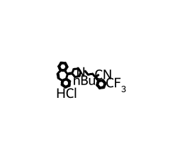 CCCCC(C#N)(CCCN1CCC(=C2c3ccccc3C=Cc3ccccc32)CC1)c1cccc(C(F)(F)F)c1.Cl